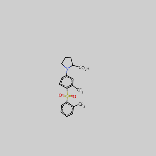 O=C(O)C1CCCN1c1ccc(S(=O)(=O)c2ccccc2C(F)(F)F)c(C(F)(F)F)c1